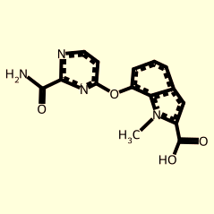 Cn1c(C(=O)O)cc2cccc(Oc3ccnc(C(N)=O)n3)c21